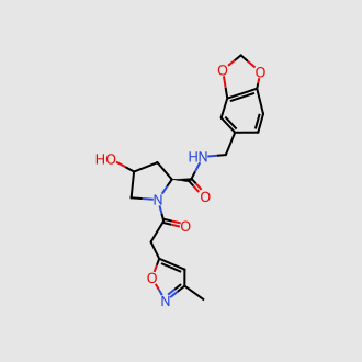 Cc1cc(CC(=O)N2CC(O)C[C@H]2C(=O)NCc2ccc3c(c2)OCO3)on1